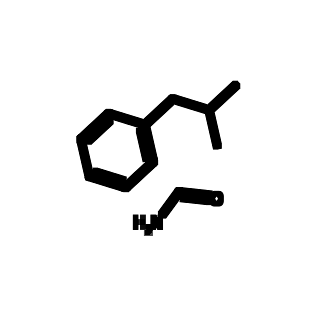 CC(C)Cc1ccccc1.NC=O